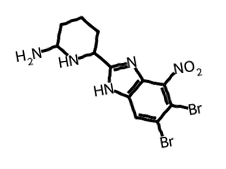 NC1CCCC(c2nc3c([N+](=O)[O-])c(Br)c(Br)cc3[nH]2)N1